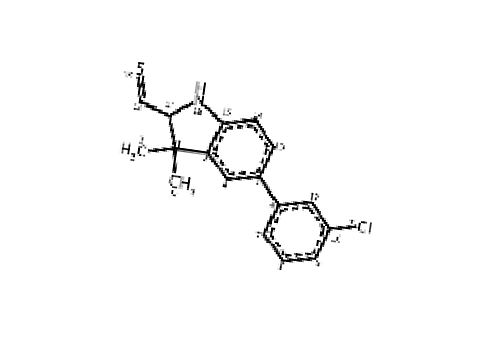 CC1(C)c2cc(-c3cccc(Cl)c3)ccc2NC1C=S